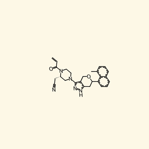 C=CC(=O)N1CCN(c2n[nH]c3c2COC(c2cccc4cccc(C)c24)C3)C[C@@H]1CC#N